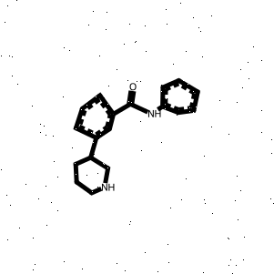 O=C(Nc1ccccc1)c1cccc(C2CCCNC2)c1